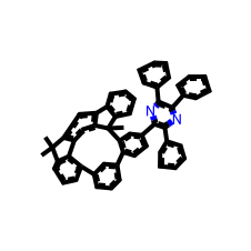 CC1(C)c2cc3c4cc2-c2c(cccc21)-c1cccc(c1)-c1ccc(-c2nc(-c5ccccc5)c(-c5ccccc5)nc2-c2ccccc2)cc1C4(C)c1ccccc1-3